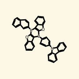 c1ccc2cc(B3c4oc5ccccc5c4B(c4ccc(-n5c6ccccc6c6ccccc65)cc4)c4oc5ccccc5c43)ccc2c1